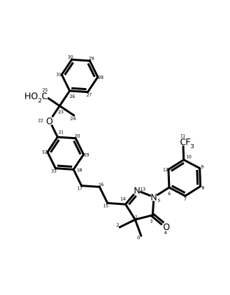 CC1(C)C(=O)N(c2cccc(C(F)(F)F)c2)N=C1CCCc1ccc(OC(C)(C(=O)O)c2ccccc2)cc1